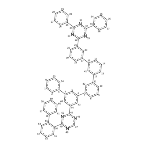 c1ccc(-c2cc(-c3cccc(-c4cccc(-c5cccc(-c6nc(-c7ccccc7)nc(-c7ccccc7)n6)c5)c4)c3)cc(-c3ncnc(-c4ccccc4-c4ccccc4)n3)c2)cc1